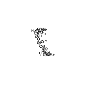 COC(=O)N[C@H](C(=O)N1CCC[C@H]1c1nc2cc([C@@H]3CC[C@@H](c4ccc5[nH]c([C@@H]6CCCN6C(=O)[C@H]([C@@H](C)OC)N(C)C(=O)O)nc5c4)N3c3ccc(C4CC4)cc3)ccc2[nH]1)[C@@H](C)OC